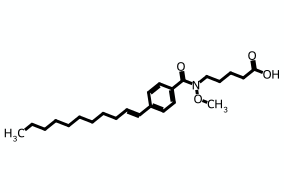 CCCCCCCCCC=Cc1ccc(C(=O)N(CCCCC(=O)O)OC)cc1